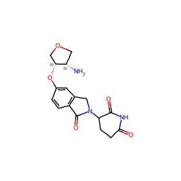 N[C@H]1COC[C@H]1Oc1ccc2c(c1)CN(C1CCC(=O)NC1=O)C2=O